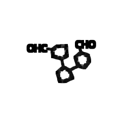 O=Cc1cccc(-c2ccccc2-c2cccc(C=O)c2)c1